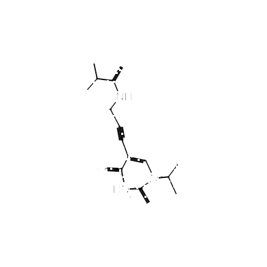 C=C(NCC#CC1=CN(C(C)C)C(=C)NC1=O)C(C)C